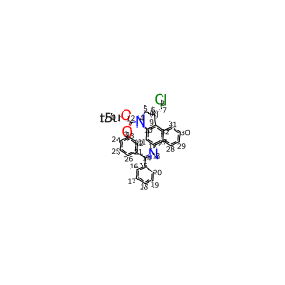 CC(C)(C)OC(=O)N1C[C@H](CCl)c2c1cc(N=C(c1ccccc1)c1ccccc1)c1ccccc21